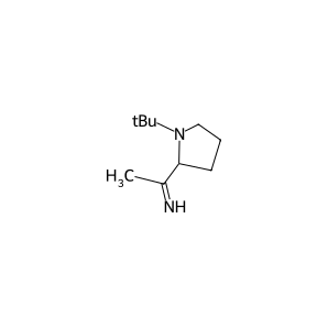 CC(=N)C1CCCN1C(C)(C)C